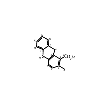 Cc1ccc2c(c1C(=O)O)Cc1ccccc1S2